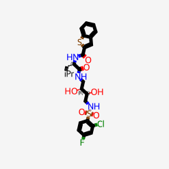 CC(C)C[C@H](NC(=O)c1cc2ccccc2s1)C(=O)NC[C@@H](O)[C@H](O)CNS(=O)(=O)c1ccc(F)cc1Cl